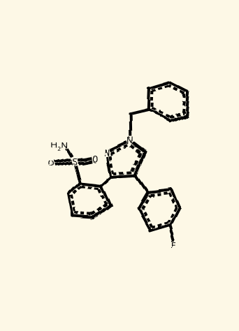 NS(=O)(=O)c1ccccc1-c1nn(Cc2ccccc2)cc1-c1ccc(F)cc1